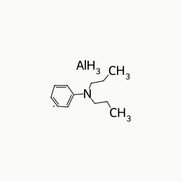 CCCN(CCC)c1c[c]ccc1.[AlH3]